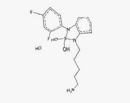 Cl.NCCCCCN1c2ccccc2N(c2ccc(F)cc2F)S1(O)O